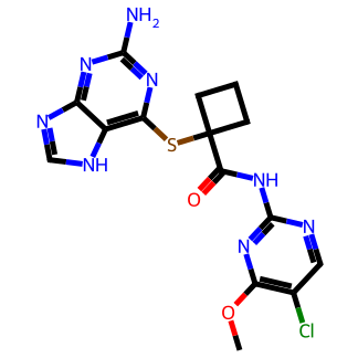 COc1nc(NC(=O)C2(Sc3nc(N)nc4nc[nH]c34)CCC2)ncc1Cl